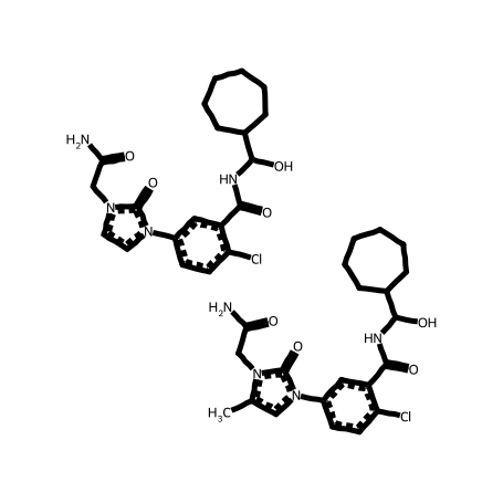 Cc1cn(-c2ccc(Cl)c(C(=O)NC(O)C3CCCCCC3)c2)c(=O)n1CC(N)=O.NC(=O)Cn1ccn(-c2ccc(Cl)c(C(=O)NC(O)C3CCCCCC3)c2)c1=O